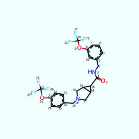 O=C(NCc1cccc(OC(F)(F)F)c1)C1C2CN(Cc3ccc(OC(F)(F)F)cc3)CC21